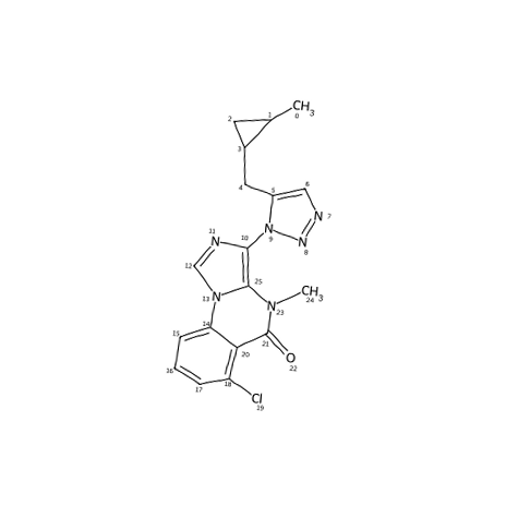 CC1CC1Cc1cnnn1-c1ncn2c3cccc(Cl)c3c(=O)n(C)c12